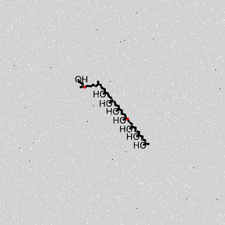 CC(O)CCCC(O)CCCC(O)CCCC(O)CCCC(O)CCCC(O)CCCC(O)CCCC(C)CCCCCC(C)CCO